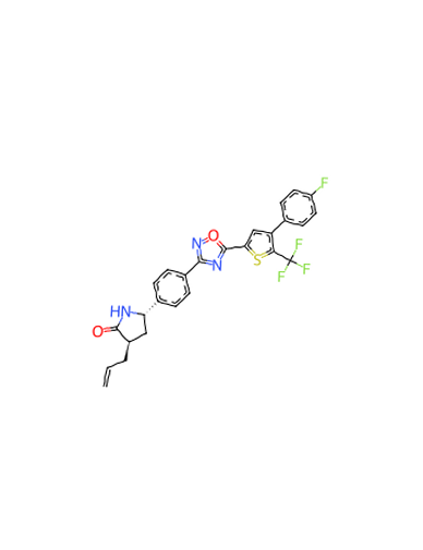 C=CC[C@@H]1C[C@@H](c2ccc(-c3noc(-c4cc(-c5ccc(F)cc5)c(C(F)(F)F)s4)n3)cc2)NC1=O